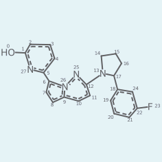 Oc1cccc(-c2ccc3ccc(N4CCCC4c4cccc(F)c4)nn23)n1